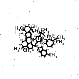 CC1=C(N2C3=CC(C(C)(C)C)=CC4C3B(c3ccc5c6c3N4c3cc4c(cc3C6(C)CCC5(C)C)C(C)(C)CCC4(C)C)c3sc4ccc(C)cc4c32)CC=CC(C(C)(C)C)=C1